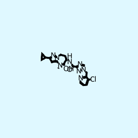 CN1c2cc(C3CC3)nn2CC[C@H](NC(=O)c2ncn(Cc3ncccc3Cl)n2)C1O